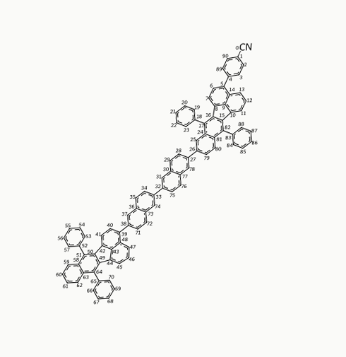 N#Cc1ccc(-c2ccc3c4c(cccc24)-c2c-3c(-c3ccccc3)c3cc(-c4ccc5cc(-c6ccc7cc(-c8ccc9c%10c(cccc8%10)-c8c-9c(-c9ccccc9)c9ccccc9c8-c8ccccc8)ccc7c6)ccc5c4)ccc3c2-c2ccccc2)cc1